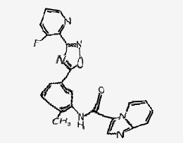 Cc1ccc(-c2nc(-c3ncccc3F)no2)cc1NC(=O)c1cnc2ccccn12